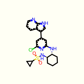 O=S(=O)(N[C@@H]1CCCC[C@H]1Nc1cc(-c2c[nH]c3ncccc23)cc(Cl)n1)C1CC1